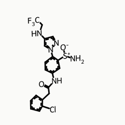 N[S+]([O-])c1cc(NC(=O)Cc2ccccc2Cl)ccc1-n1cc(NCC(F)(F)F)cn1